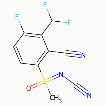 CS(=O)(=NC#N)c1ccc(F)c(C(F)F)c1C#N